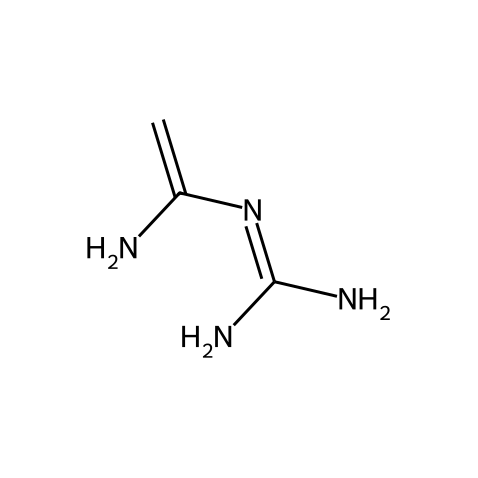 C=C(N)N=C(N)N